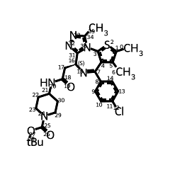 Cc1sc2c(c1C)C(c1ccc(Cl)cc1)=N[C@@H](CC(=O)NC1CCN(C(=O)OC(C)(C)C)CC1)c1nnc(C)n1-2